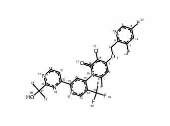 Cc1cc(OCc2ncc(F)cc2F)c(Cl)c(=O)n1-c1cc(-c2ccnc(C(C)(C)O)n2)ncc1C(F)(F)F